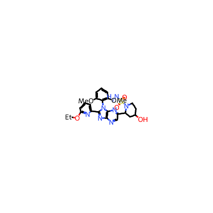 CCOc1cccc(-c2nc3ncc(C4CC(O)CCN4S(N)(=O)=O)nc3n2-c2c(OC)cccc2OC)n1